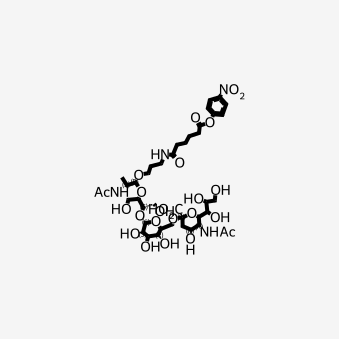 CC(=O)N[C@@H](C)[C@H](OCCCNC(=O)CCCCC(=O)Oc1ccc([N+](=O)[O-])cc1)OC(CO)[C@H](CO)O[C@@H]1OC(CO[C@]2(C(=O)O)C[C@@H](O)[C@@H](NC(C)=O)C(C(O)C(O)CO)O2)[C@H](O)C(O)[C@@H]1O